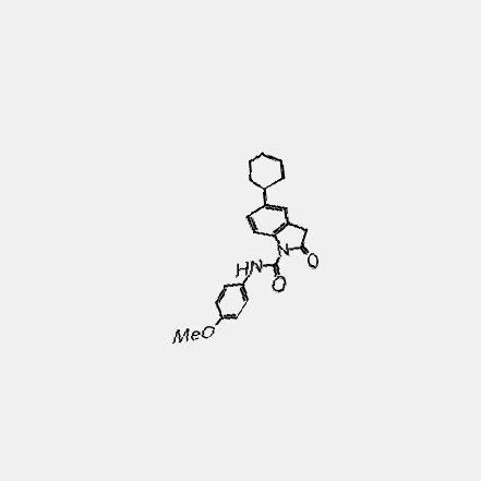 COc1ccc(NC(=O)N2C(=O)Cc3cc(C4CCCCC4)ccc32)cc1